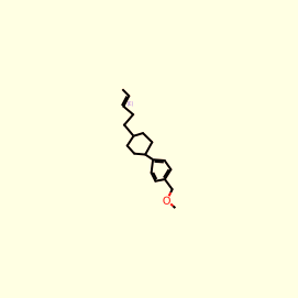 C/C=C/CCC1CCC(c2ccc(COC)cc2)CC1